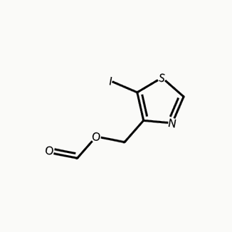 O=COCc1ncsc1I